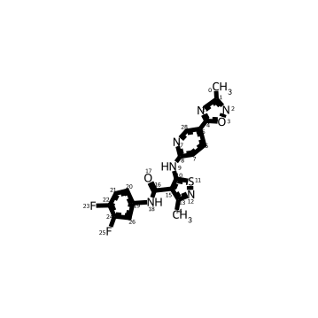 Cc1noc(-c2ccc(Nc3snc(C)c3C(=O)Nc3ccc(F)c(F)c3)nc2)n1